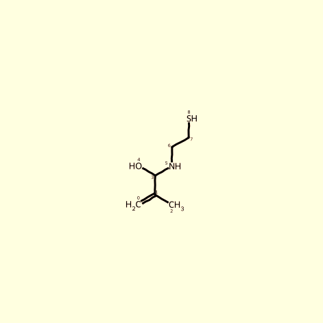 C=C(C)C(O)NCCS